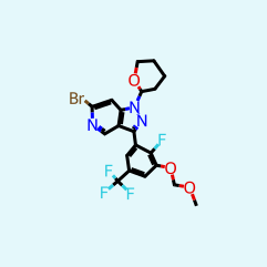 COCOc1cc(C(F)(F)F)cc(-c2nn(C3CCCCO3)c3cc(Br)ncc23)c1F